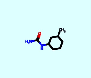 C[C@H]1CCCC(NC(N)=O)C1